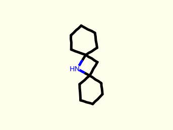 C1CCC2(CC1)CC1(CCCCC1)N2